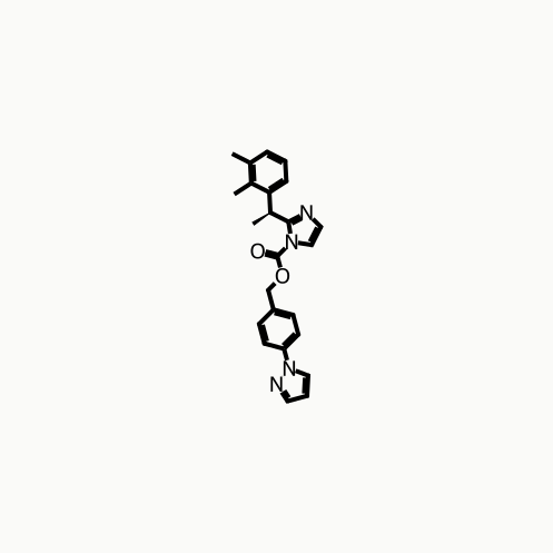 Cc1cccc([C@H](C)c2nccn2C(=O)OCc2ccc(-n3cccn3)cc2)c1C